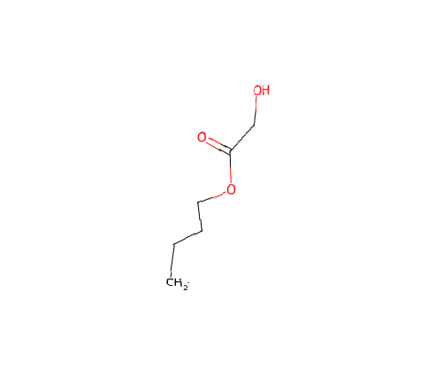 [CH2]CCCOC(=O)CO